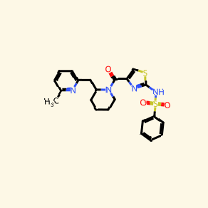 Cc1cccc(CC2CCCCN2C(=O)c2csc(NS(=O)(=O)c3ccccc3)n2)n1